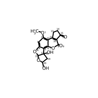 COc1cc2c(c3oc(=O)c4c(c13)CCC4=O)C1(O)CC(O)OC1O2